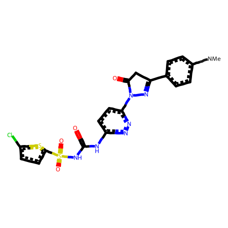 CNc1ccc(C2=NN(c3ccc(NC(=O)NS(=O)(=O)c4ccc(Cl)s4)nn3)C(=O)C2)cc1